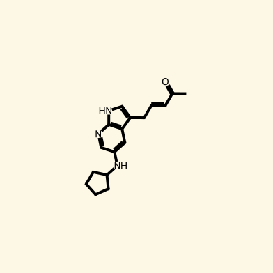 CC(=O)/C=C/Cc1c[nH]c2ncc(NC3CCCC3)cc12